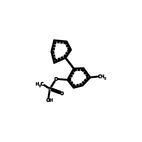 Cc1ccc(OP(C)(=O)O)c(-c2ccccc2)c1